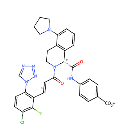 O=C(O)c1ccc(NC(=O)[C@H]2c3cccc(N4CCCC4)c3CCN2C(=O)/C=C/c2c(-n3cnnn3)ccc(Cl)c2F)cc1